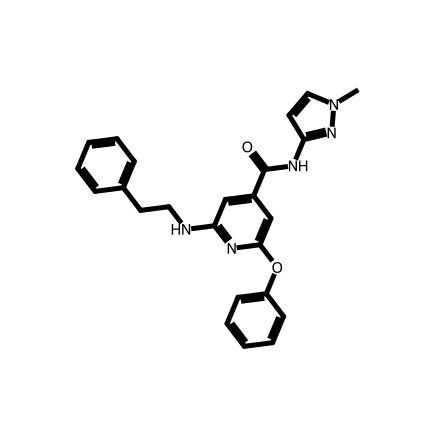 Cn1ccc(NC(=O)c2cc(NCCc3ccccc3)nc(Oc3ccccc3)c2)n1